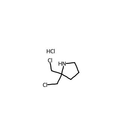 Cl.ClCC1(CCl)CCCN1